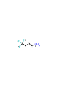 N/C=C/CC(F)(F)F